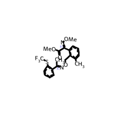 CO/N=C(/C(=O)OC)c1cccc(C)c1CO/N=C(\C)c1ccccc1SC(F)(F)F